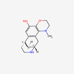 CN1CCOc2c(O)cc3c(c21)C[C@@H]1NCC[C@]32CCCC[C@H]12